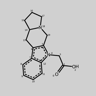 O=C(O)Cn1c2c(c3ccccc31)CC1CCCN1C2